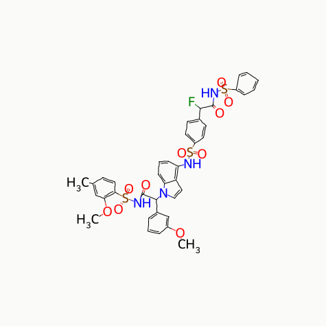 COc1cccc(C(C(=O)NS(=O)(=O)c2ccc(C)cc2OC)n2ccc3c(NS(=O)(=O)c4ccc(C(F)C(=O)NS(=O)(=O)c5ccccc5)cc4)cccc32)c1